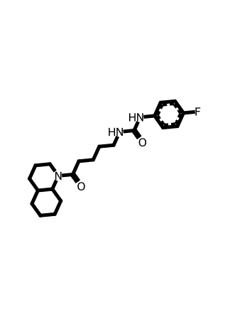 O=C(NCCCCC(=O)N1CCCC2CCCCC21)Nc1ccc(F)cc1